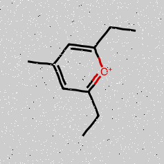 CCc1cc(C)cc(CC)[o+]1